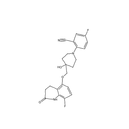 N#Cc1cc(F)ccc1N1CCC(O)(COc2ccc(F)c3c2CCC(=O)N3)CC1